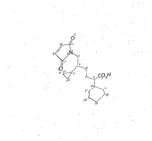 O=C(O)C(CCC(CN1C(=O)C=CC1=O)C1CC1)C1CCCCC1